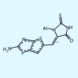 CC(=O)N1C(=S)NC(=O)/C1=C/c1cc2sc(N)nc2s1